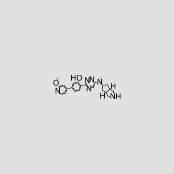 COc1cc(-c2ccc(-c3ncc(N(C)C4C[C@H]5CNC[C@H]5C4)nn3)c(O)c2)ccn1